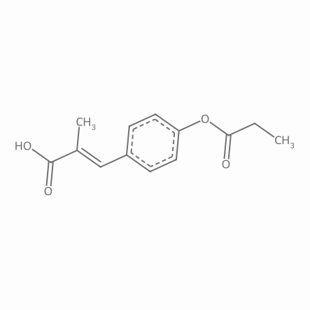 CCC(=O)Oc1ccc(/C=C(\C)C(=O)O)cc1